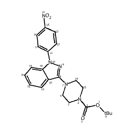 CC(C)(C)OC(=O)N1CCN(c2nn(-c3ccc([N+](=O)[O-])cc3)c3ccccc23)CC1